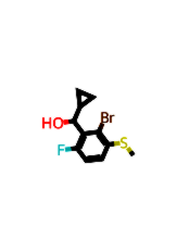 CSc1ccc(F)c(C(O)C2CC2)c1Br